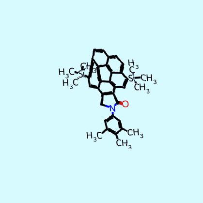 Cc1cc(N2Cc3c(c4cc([Si](C)(C)C)c5ccc6ccc7c([Si](C)(C)C)cc3c3c7c6c5c43)C2=O)cc(C)c1C